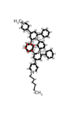 CCCCCC[n+]1ccc(-c2cc(-c3ccccc3)[n+](-c3cccc(-[n+]4c(-c5ccccc5)cc(-c5cc[n+](C)cc5)cc4-c4ccccc4)c3)c(-c3ccccc3)c2)cc1